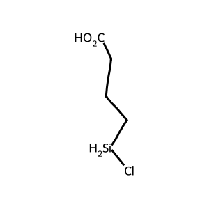 O=C(O)CCC[SiH2]Cl